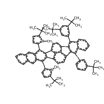 Cn1c(-c2c3c(c(-c4ccc(C(C)(C)C)n4C)c4cc5ccccc5cc24)-c2ccc4c5c(ccc-3c25)-c2c-4c(-c3cc(C(C)(C)C)cc(C(C)(C)C)c3)c3ccccc3c2-c2cccc(C(C)(C)C)c2)ccc1C(C)(C)C